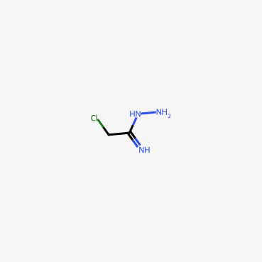 N=C(CCl)NN